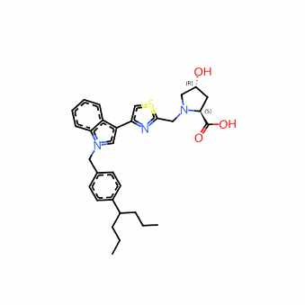 CCCC(CCC)c1ccc(Cn2cc(-c3csc(CN4C[C@H](O)C[C@H]4C(=O)O)n3)c3ccccc32)cc1